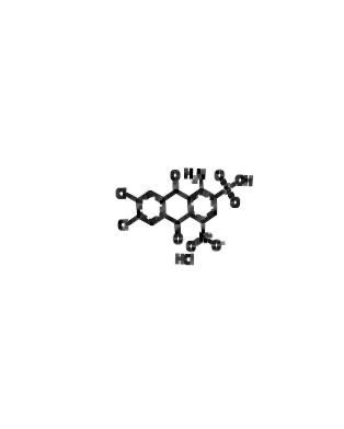 Cl.Nc1c(S(=O)(=O)O)cc([N+](=O)[O-])c2c1C(=O)c1cc(Cl)c(Cl)cc1C2=O